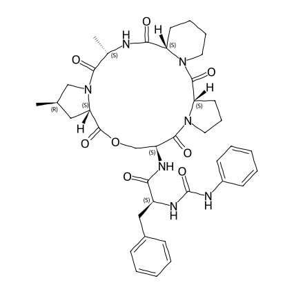 C[C@@H]1C[C@H]2C(=O)OC[C@H](NC(=O)[C@H](Cc3ccccc3)NC(=O)Nc3ccccc3)C(=O)N3CCC[C@H]3C(=O)N3CCCC[C@H]3C(=O)N[C@@H](C)C(=O)N2C1